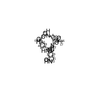 CO[C@H]1COC(=O)Nc2ccc(S(=O)(=O)C3CC3)c(c2)CN(C)C(=O)[C@H](Nc2ccc3cc[nH]c(=O)c3c2)c2ccc1cc2